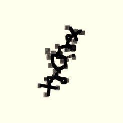 C[C@@H]1CN(C(=O)OC(C)(C)C)C[C@H](C)N1CC(=O)OC(C)(C)C